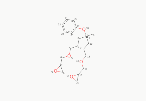 C[Si](CCCOCC1CO1)(CCCOCC1CO1)Oc1ccccc1